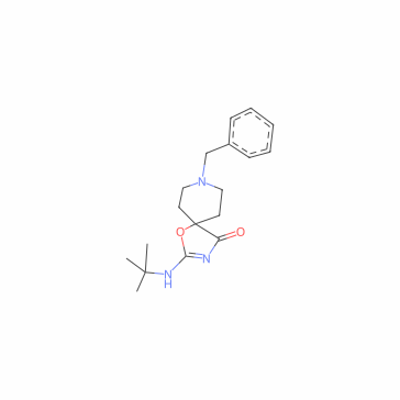 CC(C)(C)NC1=NC(=O)C2(CCN(Cc3ccccc3)CC2)O1